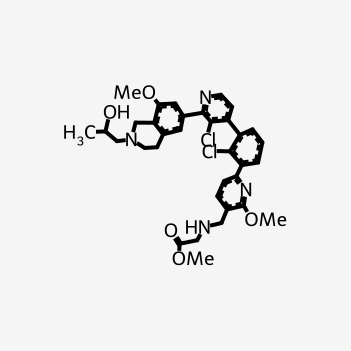 COC(=O)CNCc1ccc(-c2cccc(-c3ccnc(-c4cc5c(c(OC)c4)CN(CC(C)O)CC5)c3Cl)c2Cl)nc1OC